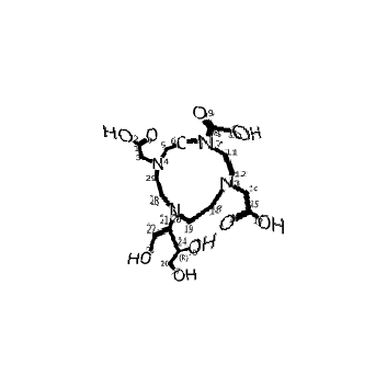 O=C(O)CN1CCN(C(=O)O)CCN(CC(=O)O)CCN(C(CO)[C@@H](O)CO)CC1